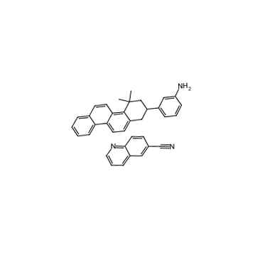 CC1(C)CC(c2cccc(N)c2)Cc2ccc3c(ccc4ccccc43)c21.N#Cc1ccc2ncccc2c1